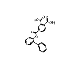 O=C(Oc1ccccc1-c1ccccc1)c1ccc(C(=O)O)c(C(=O)O)c1